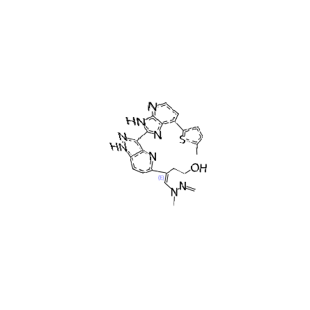 C=NN(C)/C=C(\CCO)c1ccc2[nH]nc(-c3nc4c(-c5ccc(C)s5)ccnc4[nH]3)c2n1